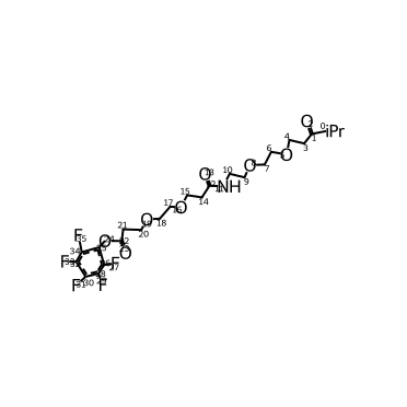 CC(C)C(=O)CCOCCOCCNC(=O)CCOCCOCCC(=O)Oc1c(F)c(F)c(F)c(F)c1F